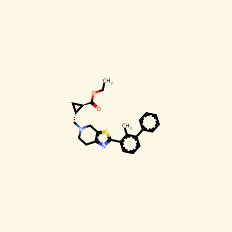 CCOC(=O)[C@@H]1C[C@H]1CN1CCc2nc(-c3cccc(-c4ccccc4)c3C)sc2C1